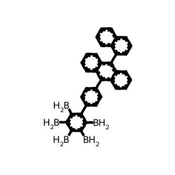 Bc1c(B)c(B)c(-c2ccc(-c3c4ccccc4c(-c4cccc5ccccc45)c4ccccc34)cc2)c(B)c1B